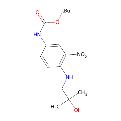 CC(C)(O)CNc1ccc(NC(=O)OC(C)(C)C)cc1[N+](=O)[O-]